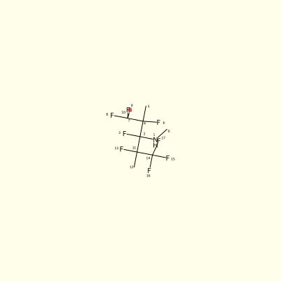 CNC(F)(C(C)(F)C(F)(F)F)C(C)(F)C(F)(F)F